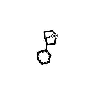 [c]1ccccc1C1CN2CCC1CC2